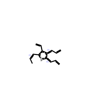 C=C/C=c1/c(C=C)c(/C=C\C)s/c1=C/C=C